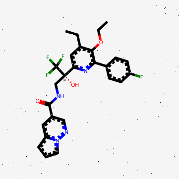 CCOc1c(CC)cc([C@@](O)(CNC(=O)c2cnn3cccc3c2)C(F)(F)F)nc1-c1ccc(F)cc1